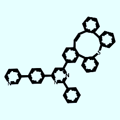 C1=C\c2ccc(-c3cc(-c4ccc(-c5cccnc5)cc4)nc(-c4ccccc4)n3)cc2-c2ccccc2Sc2ccccc2-c2ccccc2/1